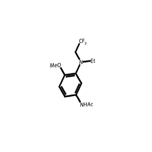 CCN(CC(F)(F)F)c1cc(NC(C)=O)ccc1OC